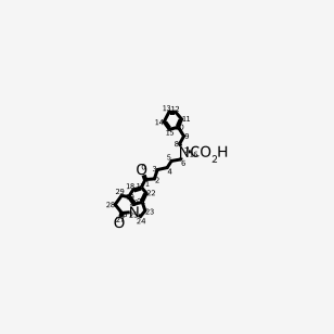 O=C(CCCCCN(CCc1ccccc1)C(=O)O)c1cc2c3c(c1)CCN3C(=O)CC2